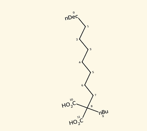 CCCCCCCCCCCCCCCCCC(CCCC)(C(=O)O)C(=O)O